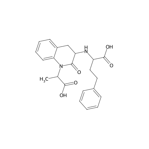 CC(C(=O)O)N1C(=O)C(NC(CCc2ccccc2)C(=O)O)Cc2ccccc21